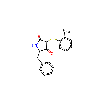 O=C1NC(Cc2ccccc2)C(=O)C1Sc1ccccc1[N+](=O)[O-]